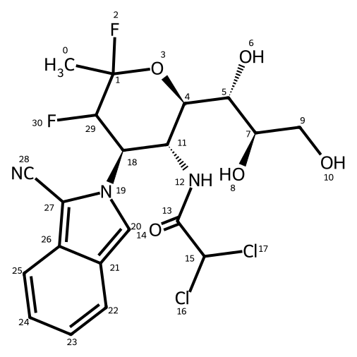 CC1(F)O[C@@H]([C@H](O)[C@H](O)CO)[C@H](NC(=O)C(Cl)Cl)[C@@H](n2cc3ccccc3c2C#N)C1F